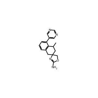 CC1CC2(COC(N)=N2)Cc2cccc(-c3cncnc3)c21